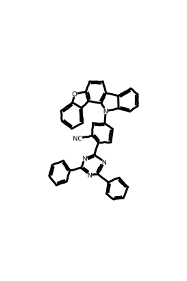 N#Cc1cc(-n2c3ccccc3c3ccc4oc5ccccc5c4c32)ccc1-c1nc(-c2ccccc2)nc(-c2ccccc2)n1